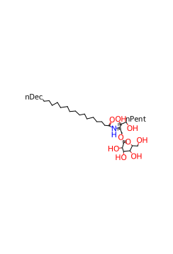 CCCCCCCCCCCCCCCCCCCCCCCCCC(=O)N[C@H](CO[C@@H]1OC(CO)C(O)C(O)C1O)[C@@H](O)C(O)CCCCC